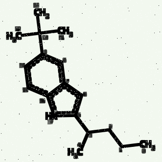 CCCC(C)c1cc2cc(C(C)(C)C)ccc2[nH]1